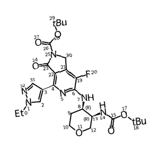 CCn1cc(-c2nc(N[C@@H]3CCOC[C@@H]3NC(=O)OC(C)(C)C)c(F)c3c2C(=O)N(C(=O)OC(C)(C)C)C3)cn1